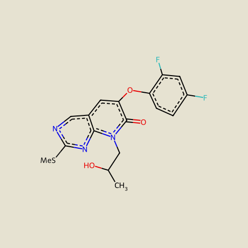 CSc1ncc2cc(Oc3ccc(F)cc3F)c(=O)n(CC(C)O)c2n1